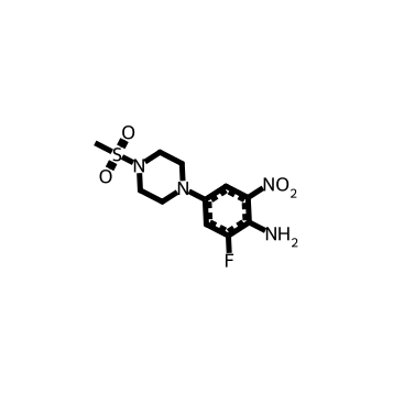 CS(=O)(=O)N1CCN(c2cc(F)c(N)c([N+](=O)[O-])c2)CC1